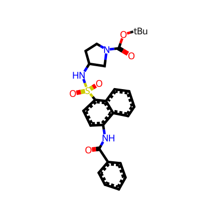 CC(C)(C)OC(=O)N1CCC(NS(=O)(=O)c2ccc(NC(=O)c3ccccc3)c3ccccc23)C1